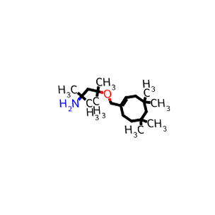 CC(C)(N)CC(C)(C)OC/C1=C/CC(C)(C)CC(C)(C)CC1